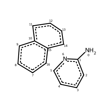 Nc1ccccn1.c1ccc2ccccc2c1